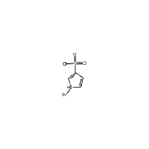 O=S(=O)(Cl)C1=C[SH](Br)C=C1